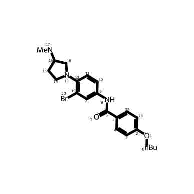 CCCCOc1ccc(C(=O)Nc2ccc(N3CCC(NC)C3)c(Br)c2)cc1